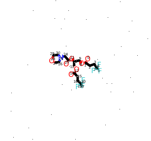 O=C(CCC(F)(F)F)OCC(COC(=O)CCC(F)(F)F)OC(=O)CN1CCOCC1